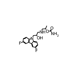 CC(CNCC(O)Cn1c2ccc(F)cc2c2cc(F)ccc21)OC(N)=O